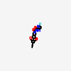 CC#Cc1cc(C)c(C2C(=O)CC3(CCN(C(=O)NC(=O)c4cccc(F)n4)CC3)CC2=O)c(C)c1